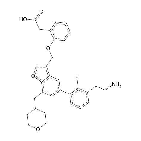 NCCc1cccc(-c2cc(CC3CCOCC3)c3occ(COc4ccccc4CC(=O)O)c3c2)c1F